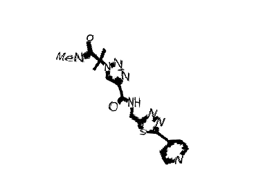 CNC(=O)C(C)(C)n1cc(C(=O)NCc2nnc(-c3ccncc3)s2)nn1